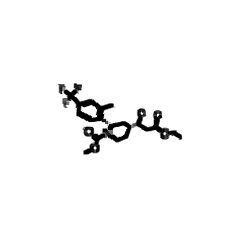 CCOC(=O)CC(=O)[C@@H]1CCN(C(=O)OC)[C@H](c2ccc(C(F)(F)F)cc2C)C1